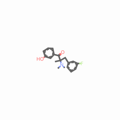 CN(C)C(C)(Cc1cccc(F)c1)C(=O)c1cccc(O)c1